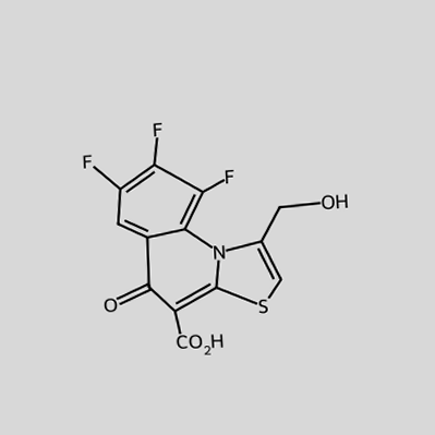 O=C(O)c1c(=O)c2cc(F)c(F)c(F)c2n2c(CO)csc12